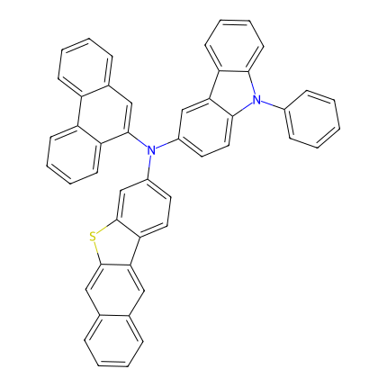 c1ccc(-n2c3ccccc3c3cc(N(c4ccc5c(c4)sc4cc6ccccc6cc45)c4cc5ccccc5c5ccccc45)ccc32)cc1